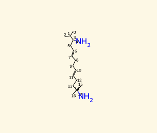 CC(C)C(N)CC=CCCC=CCCC(C)(C)N